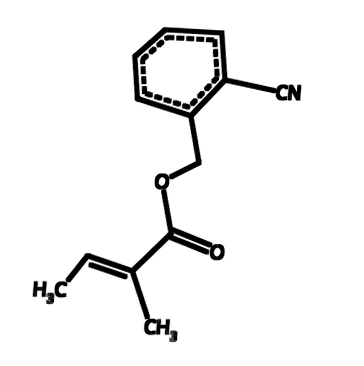 CC=C(C)C(=O)OCc1ccccc1C#N